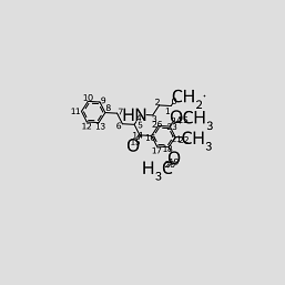 [CH2]CCCNC(CCc1ccccc1)C(=O)c1cc(OC)c(C)c(OC)c1